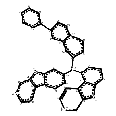 C1=Cc2c(oc3cccc(N(c4ccc5ccc(-c6ccccc6)cc5c4)c4ccc5c(c4)oc4cnccc45)c23)CN1